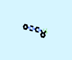 FC(F)(F)c1ccccc1CN1CCC(N2CCN(c3ccccc3)CC2)CC1